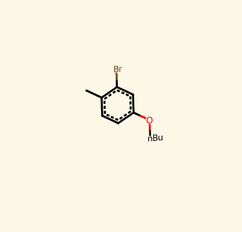 CCCCOc1ccc(C)c(Br)c1